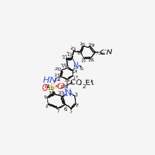 CCOC(=O)CN1CC=Cc2cccc(S(=O)(=O)Nc3ccc4c(c3)cc(Cc3ccc(C#N)cc3)n4C)c21